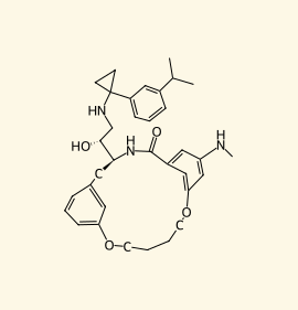 CNc1cc2cc(c1)C(=O)N[C@H]([C@H](O)CNC1(c3cccc(C(C)C)c3)CC1)Cc1cccc(c1)OCCCCO2